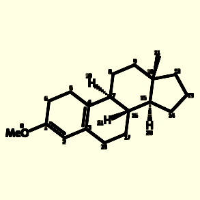 COC1=CC2=C(CC1)[C@H]1CC[C@]3(C)CCC[C@H]3[C@@H]1CC2